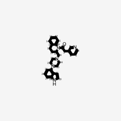 O=C(Cc1cccnc1)N1c2ccccc2CCC1CN1CCN(c2cccc3[nH]ccc23)CC1